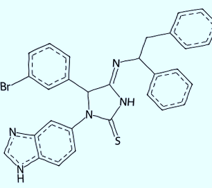 S=C1NC(=NC(Cc2ccccc2)c2ccccc2)C(c2cccc(Br)c2)N1c1ccc2[nH]cnc2c1